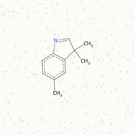 Cc1ccc2c(c1)C(C)(C)[C]=N2